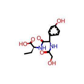 CC[C@H](NC(=O)[C@H](NC(=O)CO)c1ccc(O)cc1)C(=O)O